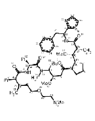 CC[C@H](C)C([C@@H](CC(=O)N1CCC[C@H]1[C@H](OC)[C@@H](C)C(=O)N[C@@H](Cc1ccccc1)c1nccs1)OC)N(C)C(=O)[C@@H](NC(=O)C(C(C)C)N(C)CCOCCNC)C(C)C